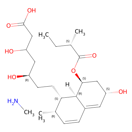 CC[C@H](C)C(=O)O[C@H]1C[C@H](O)C=C2C=C[C@H](C)[C@H](CC[C@@H](O)CC(O)CC(=O)O)[C@H]21.CN